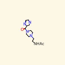 CC(=O)NCCN1CCN(C(=O)C2CN=CC=N2)CC1